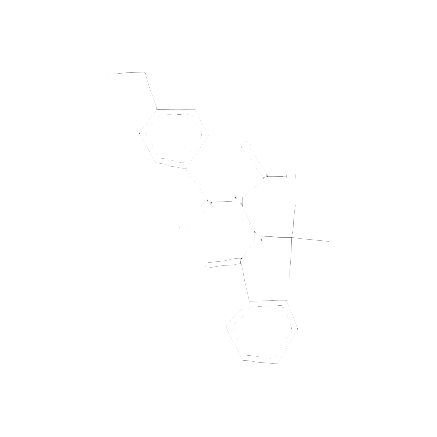 CCc1ccc(C(=O)N(C([O])=O)N(C(=O)c2ccccc2)C(C)(C)C)cc1